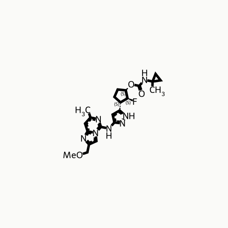 COCc1cn2c(Nc3cc([C@@H]4CC[C@H](OC(=O)NC5(C)CC5)[C@H]4F)[nH]n3)nc(C)cc2n1